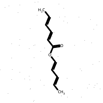 CC=CC=COC(=O)C=CC=CC